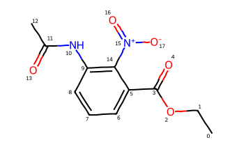 CCOC(=O)c1cccc(NC(C)=O)c1[N+](=O)[O-]